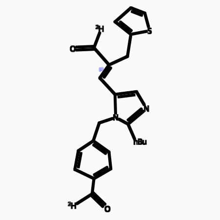 [2H]C(=O)/C(=C/c1cnc(CCCC)n1Cc1ccc(C([2H])=O)cc1)Cc1cccs1